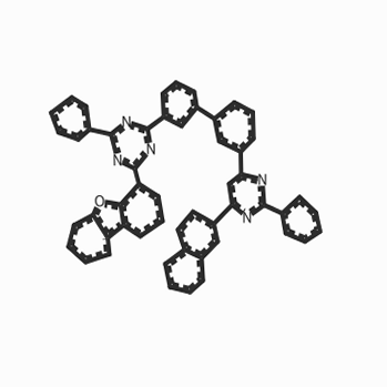 c1ccc(-c2nc(-c3cccc(-c4cccc(-c5nc(-c6ccccc6)nc(-c6cccc7c6oc6ccccc67)n5)c4)c3)cc(-c3ccc4ccccc4c3)n2)cc1